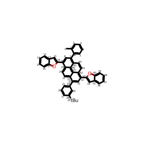 Cc1ccccc1-c1cc(-c2cc3ccccc3o2)c2ccc3c(-c4cccc(C(C)(C)C)c4)cc(-c4cc5ccccc5o4)c4ccc1c2c34